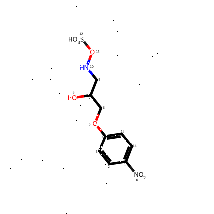 O=[N+]([O-])c1ccc(OCC(O)CNOS(=O)(=O)O)cc1